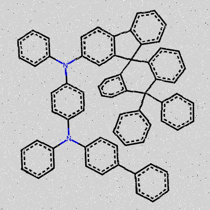 c1ccc(-c2ccc(N(c3ccccc3)c3ccc(N(c4ccccc4)c4ccc5c(c4)C4(c6ccccc6-5)c5ccccc5C(c5ccccc5)(c5ccccc5)c5ccccc54)cc3)cc2)cc1